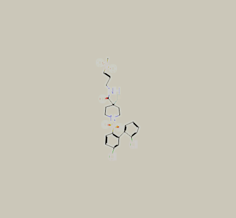 CS(=O)(=O)/C=C/CNC(=O)C1(F)CCN(S(=O)(=O)c2ccc(Cl)cc2-c2ccccc2Cl)CC1